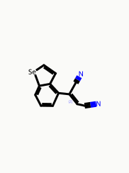 N#C/C=C(\C#N)c1cccc2[se]ccc12